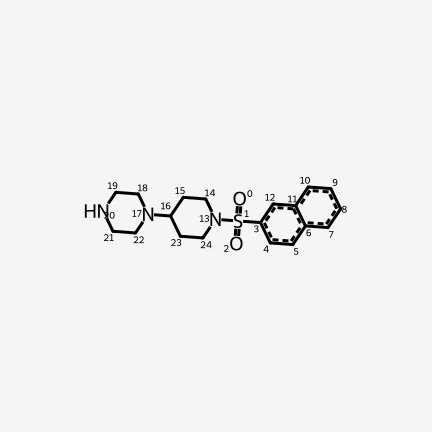 O=S(=O)(c1ccc2ccccc2c1)N1CCC(N2CCNCC2)CC1